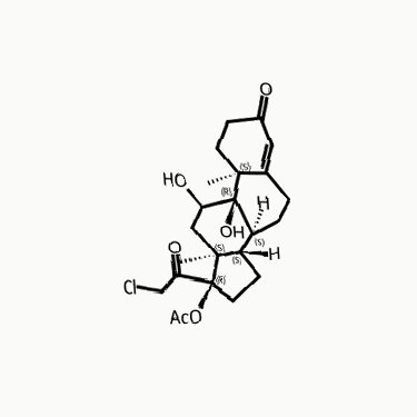 CC(=O)O[C@]1(C(=O)CCl)CC[C@H]2[C@@H]3CCC4=CC(=O)CC[C@]4(C)[C@@]3(O)C(O)C[C@@]21C